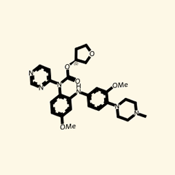 COc1ccc(N(C(=O)O[C@H]2CCOC2)c2ccncn2)c(Nc2ccc(N3CCN(C)CC3)c(OC)c2)c1